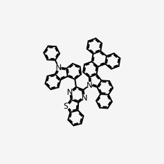 c1ccc(-n2c3ccccc3c3c(-c4nc5sc6ccccc6c5nc4-n4c5ccc6c7ccccc7c7ccccc7c6c5c5ccc6ccccc6c54)cccc32)cc1